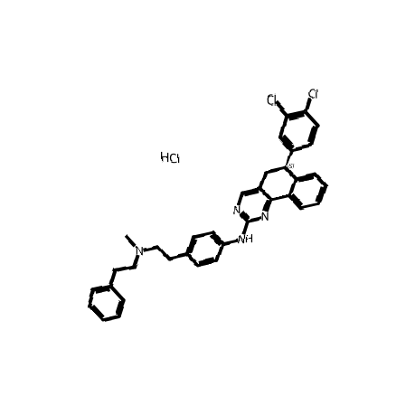 CN(CCc1ccccc1)CCc1ccc(Nc2ncc3c(n2)-c2ccccc2[C@H](c2ccc(Cl)c(Cl)c2)C3)cc1.Cl